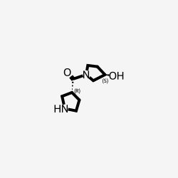 O=C([C@@H]1CCNC1)N1CC[C@H](O)C1